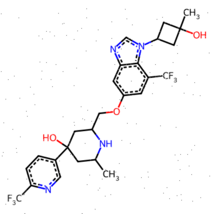 CC1CC(O)(c2ccc(C(F)(F)F)nc2)CC(COc2cc(C(F)(F)F)c3c(c2)ncn3C2CC(C)(O)C2)N1